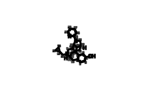 Oc1ccc2c(c1)[C@]13CCN(CC4CC4)[C@H](C2)[C@]12CCC1C3[C@@H](CN1c1ccccn1)C2